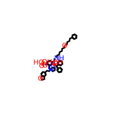 NC(=O)C(c1ccccc1)(c1ccccc1)[C@@H]1CC[N+](CCc2ccc3c(c2)CCO3)(Cc2cc(C(O)CNCCCCCCOCCCCc3ccccc3)ccc2OP(=O)(O)O)C1